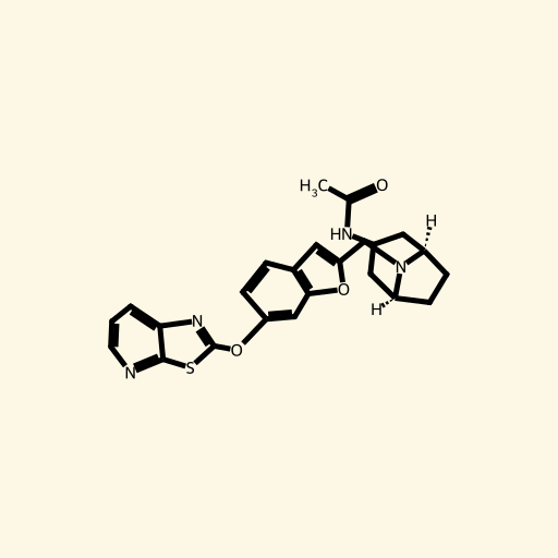 CC(=O)NC1C[C@H]2CC[C@@H](C1)N2Cc1cc2ccc(Oc3nc4cccnc4s3)cc2o1